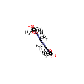 CC1=C[C@@H](O)CC(C)(C)[C@]1(O)/C=C/C(C)=C/C=C/C(C)=C/C=C/C=C(C)/C=C/C=C(C)/C=C/[C@@]12O[C@]1(C)C[C@@H](O)CC2(C)C